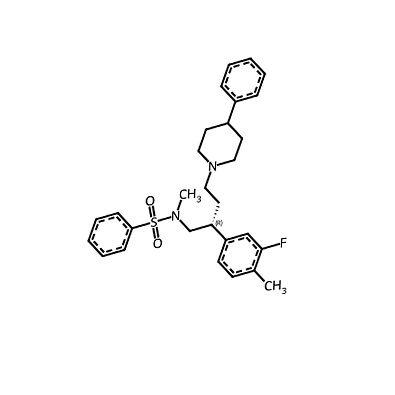 Cc1ccc([C@@H](CCN2CCC(c3ccccc3)CC2)CN(C)S(=O)(=O)c2ccccc2)cc1F